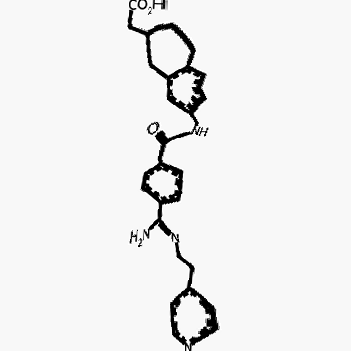 NC(=NCCc1ccncc1)c1ccc(C(=O)Nc2ccc3c(c2)CC(CC(=O)O)CC3)cc1